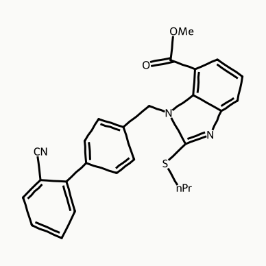 CCCSc1nc2cccc(C(=O)OC)c2n1Cc1ccc(-c2ccccc2C#N)cc1